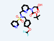 CC(C)(C)OC(=O)N(CC(=O)O)c1cccc(CN(Cc2ccc(OC(F)F)cc2)S(=O)(=O)c2cccnc2)n1